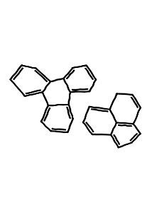 C1=Cc2cccc3cccc(c23)C1.c1ccc2c(c1)c1ccccc1c1ccccc21